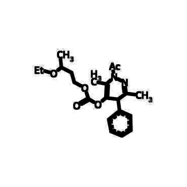 CCOC(C)CCOC(=O)OC1=C(C)N(C(C)=O)N=C(C)C1c1ccccc1